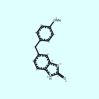 COc1ccc(Cc2ccc3[nH]c(=O)sc3c2)cc1